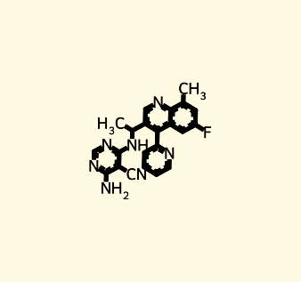 Cc1cc(F)cc2c(-c3ccccn3)c(C(C)Nc3ncnc(N)c3C#N)cnc12